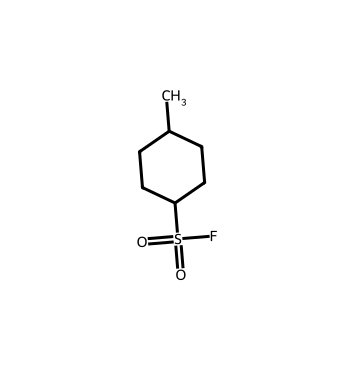 CC1CCC(S(=O)(=O)F)CC1